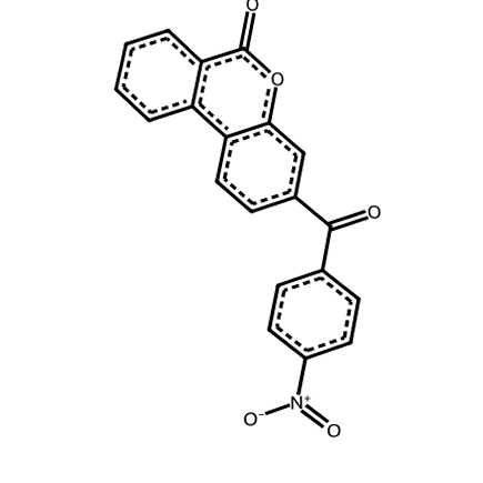 O=C(c1ccc([N+](=O)[O-])cc1)c1ccc2c(c1)oc(=O)c1ccccc12